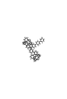 c1ccc(-c2ccc(-c3ccc(N(c4cccc(-c5cccc6c5-c5ccccc5C65c6ccccc6Oc6ccccc65)c4)c4ccc5c(c4)C4(c6ccccc6Oc6ccccc64)c4ccccc4-5)cc3)cc2)cc1